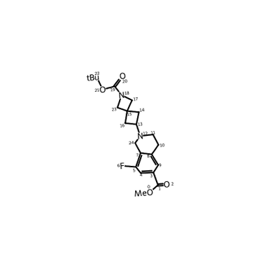 COC(=O)c1cc(F)c2c(c1)CCN(C1CC3(C1)CN(C(=O)OC(C)(C)C)C3)C2